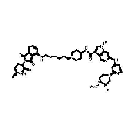 CO[C@@H]1CCN(c2nccc(Nc3cc4c(cn3)c(C(=O)NC3CCN(CCCCCCNc5cccc6c5C(=O)N(C5CCC(=O)NC5=O)C6=O)CC3)cn4C(C)C)n2)C[C@@H]1F